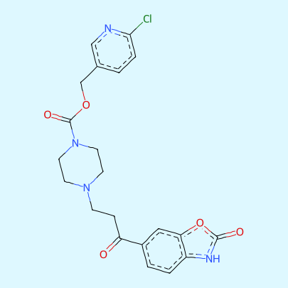 O=C(CCN1CCN(C(=O)OCc2ccc(Cl)nc2)CC1)c1ccc2[nH]c(=O)oc2c1